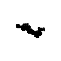 CN(C(=O)c1cccc(Oc2ccc(Nc3ncnc4ccn(CCO)c34)cc2Cl)c1)C(C)(C)C